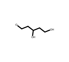 [O]CCC(O)CCO